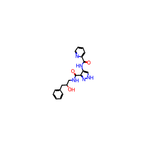 O=C(Nc1c[nH]nc1C(=O)NCC(O)Cc1ccccc1)c1ccccn1